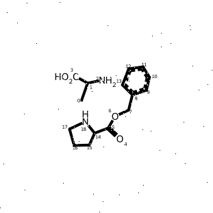 CC(N)C(=O)O.O=C(OCc1ccccc1)C1CCCN1